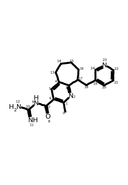 Cc1nc2c(cc1C(=O)NC(=N)N)CCCCC2Cc1cccnc1